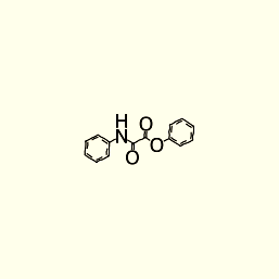 O=C(Nc1ccccc1)C(=O)Oc1ccccc1